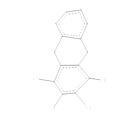 Clc1c(Cl)c(Cl)c2c(c1Cl)Cc1ccccc1C2